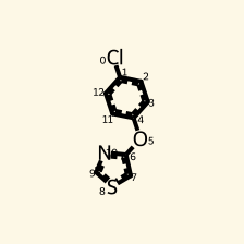 Clc1ccc(Oc2cs[c]n2)cc1